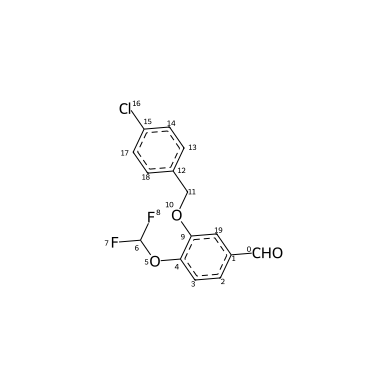 O=Cc1ccc(OC(F)F)c(OCc2ccc(Cl)cc2)c1